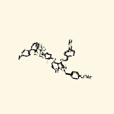 COc1ccc(Cn2nc(OCC3CCNCC3)c3c(Oc4ccc(NC(=O)N5NC=CC(c6ccc(F)cc6)C5=O)cc4F)ccnc32)cc1